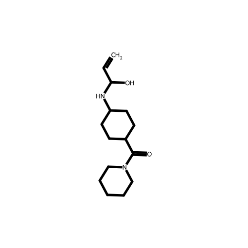 C=CC(O)NC1CCC(C(=O)N2CCCCC2)CC1